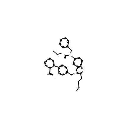 CCCCc1nc2ccc(N(Cc3ccccc3)C(=O)OCC)cc2n1Cc1ccc(-c2ccccc2C(=O)O)cc1